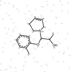 Cc1ccccc1OC(C(C)O)N1CC=CCC1